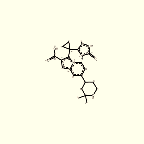 CC1(C)CC(c2ccn3c(C4(c5noc(=O)[nH]5)CC4)c(C(=O)O)cc3c2)CCO1